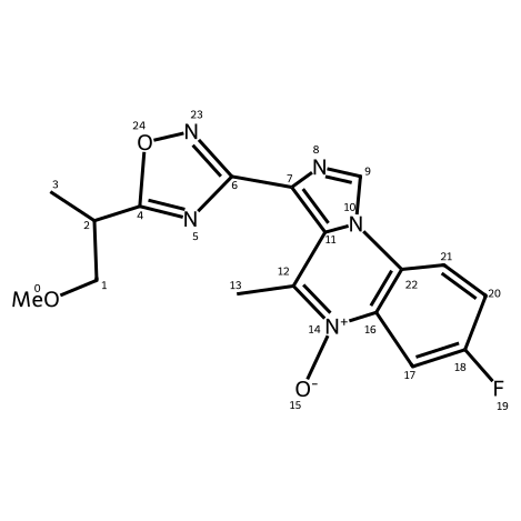 COCC(C)c1nc(-c2ncn3c2c(C)[n+]([O-])c2cc(F)ccc23)no1